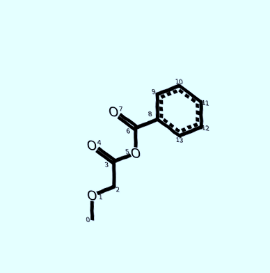 COCC(=O)OC(=O)c1ccccc1